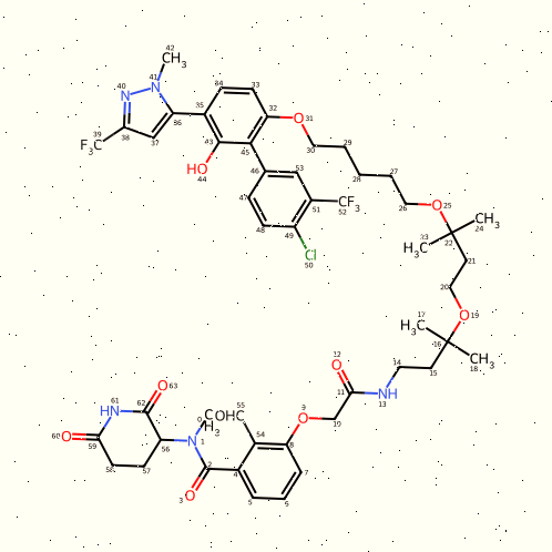 CN(C(=O)c1cccc(OCC(=O)NCCC(C)(C)OCCC(C)(C)OCCCCCOc2ccc(-c3cc(C(F)(F)F)nn3C)c(O)c2-c2ccc(Cl)c(C(F)(F)F)c2)c1C=O)C1CCC(=O)NC1=O